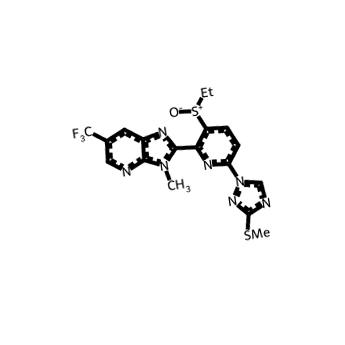 CC[S+]([O-])c1ccc(-n2cnc(SC)n2)nc1-c1nc2cc(C(F)(F)F)cnc2n1C